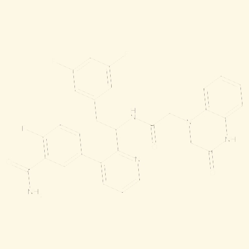 NC(=O)c1cc(-c2cccnc2C(Cc2cc(F)cc(F)c2)NC(=O)CN2CC(=O)Nc3ccccc32)ccc1F